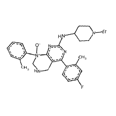 CCN1CCC(Nc2nc(-c3ccc(F)cc3C)c3c(n2)[N+]([O-])(c2ccccc2C)CNC3)CC1